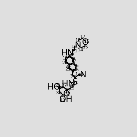 N#C/C(=C\c1ccc2cc(NCCN3CCOCC3)ccc2c1)SNCC1CC(O)CC(O)O1